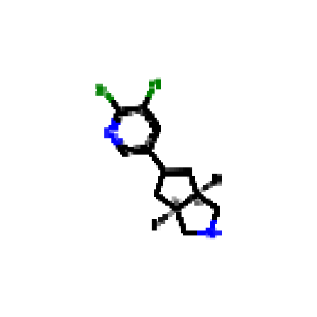 Clc1cc(C2=C[C@H]3CNC[C@H]3C2)cnc1Br